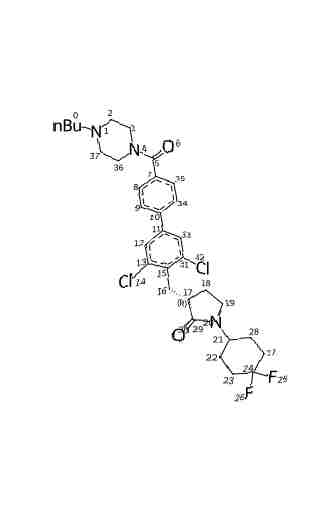 CCCCN1CCN(C(=O)c2ccc(-c3cc(Cl)c(C[C@@H]4CCN(C5CCC(F)(F)CC5)C4=O)c(Cl)c3)cc2)CC1